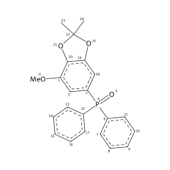 COc1cc(P(=O)(c2ccccc2)c2ccccc2)cc2c1OC(C)(C)O2